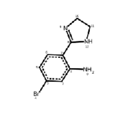 Nc1cc(Br)ccc1C1=NCCN1